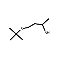 CC(S)CCSC(C)(C)C